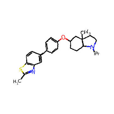 Cc1nc2cc(-c3ccc(OC4CCC5N(C(C)C)CCC5(C)C4)cc3)ccc2s1